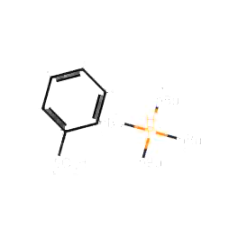 CCCC[PH](CCCC)(CCCC)CCCC.O=S(=O)(O)c1ccccc1